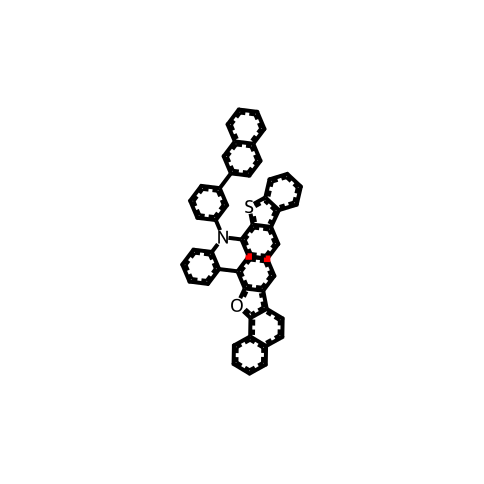 c1cc(-c2ccc3ccccc3c2)cc(N(c2ccccc2-c2cccc3c2oc2c4ccccc4ccc32)c2cccc3c2sc2ccccc23)c1